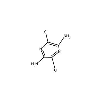 Nc1nc(Cl)c(N)nc1Cl